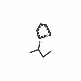 CCC(C)Cl.c1ccccc1